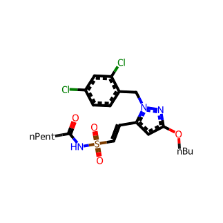 CCCCCC(=O)NS(=O)(=O)C=Cc1cc(OCCCC)nn1Cc1ccc(Cl)cc1Cl